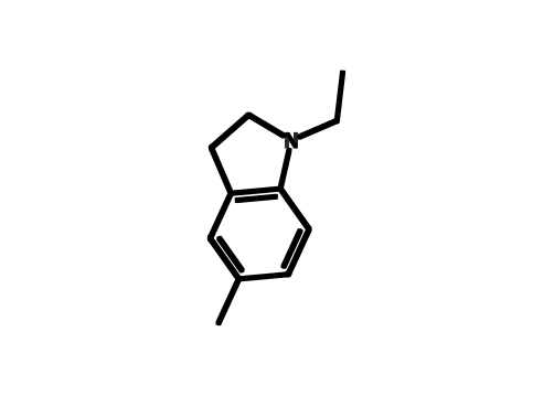 CCN1CCc2cc(C)ccc21